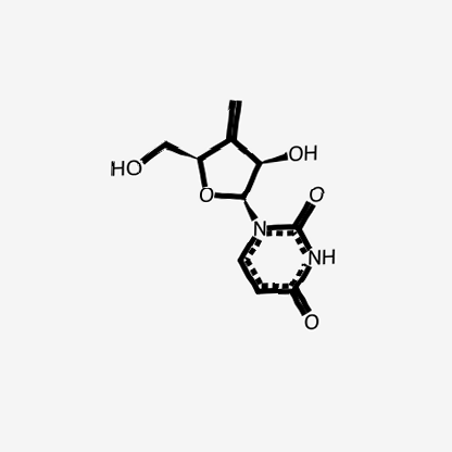 C=C1[C@H](CO)O[C@H](n2ccc(=O)[nH]c2=O)[C@@H]1O